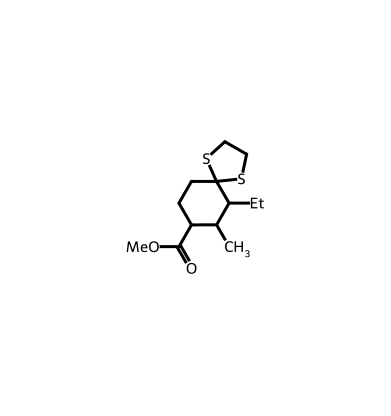 CCC1C(C)C(C(=O)OC)CCC12SCCS2